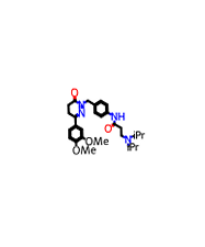 COc1ccc(C2=NN(Cc3ccc(NC(=O)CCN(C(C)C)C(C)C)cc3)C(=O)CC2)cc1OC